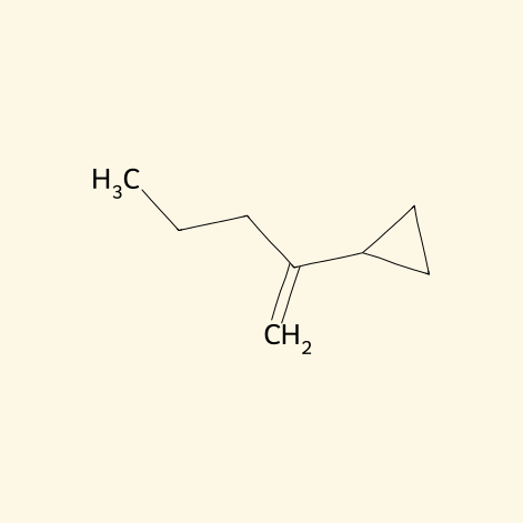 C=C(CCC)C1CC1